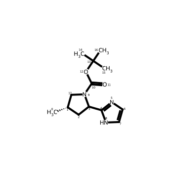 C[C@H]1CC(c2ncc[nH]2)N(C(=O)OC(C)(C)C)C1